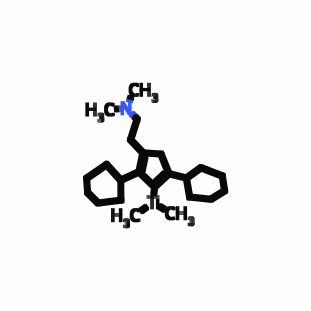 CN(C)CCC1=C(C2CCCCC2)[C]([Ti]([CH3])[CH3])=C(C2CCCCC2)C1